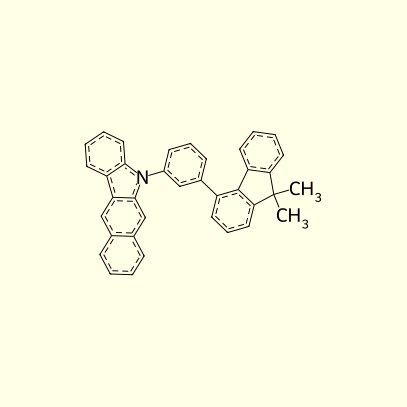 CC1(C)c2ccccc2-c2c(-c3cccc(-n4c5ccccc5c5cc6ccccc6cc54)c3)cccc21